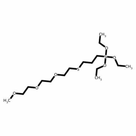 CCO[Si](CCCSCCOCCOCCOC)(OCC)OCC